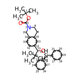 CC(C)(C)OC(=O)N1CCc2cc(C(O[SiH](c3ccccc3)c3ccccc3)C(C)(C)C)ccc2C1